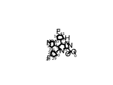 COC(=O)c1n[nH]c2c(-c3ccc(F)cc3)c(-c3ccncc3)c(-c3ccc(F)cc3)nc12